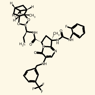 CC[C@H](NC(=O)[C@@H]1C[C@@](C)(NC(=O)Nc2ccccc2F)c2ncc(NCc3cccc(C(F)(F)F)c3)c(=O)n21)B1O[C@@H]2C[C@@H]3C[C@@H](C3(C)C)[C@]2(C)O1